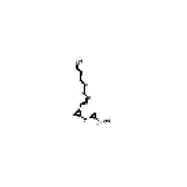 CCCCC[C@H]1C[C@H]1C[C@H]1C[C@H]1C/C=C\CCCCCO